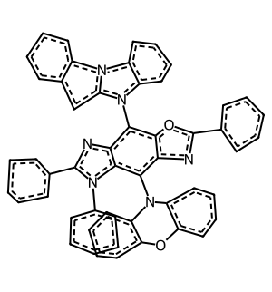 c1ccc(-c2nc3c(N4c5ccccc5Oc5ccccc54)c4c(nc(-c5ccccc5)n4-c4ccccc4)c(-n4c5ccccc5n5c6ccccc6cc45)c3o2)cc1